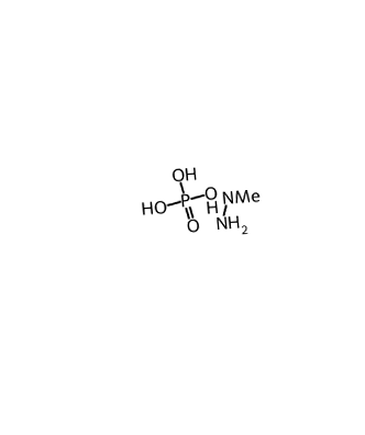 CNN.O=P(O)(O)O